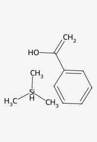 C=C(O)c1ccccc1.C[SiH](C)C